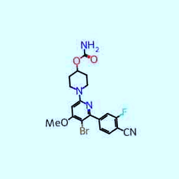 COc1cc(N2CCC(OC(N)=O)CC2)nc(-c2ccc(C#N)c(F)c2)c1Br